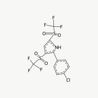 O=S(=O)(c1cc(S(=O)(=O)C(F)(F)F)c(-c2ccc(Cl)cc2)[nH]1)C(F)(F)F